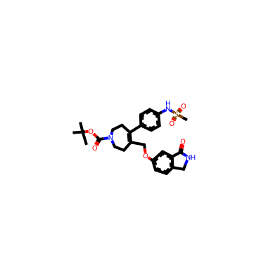 CC(C)(C)OC(=O)N1CCC(COc2ccc3c(c2)C(=O)NC3)=C(c2ccc(NS(C)(=O)=O)cc2)CC1